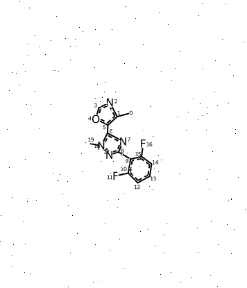 Cc1ncoc1-c1nc(-c2c(F)cccc2F)nn1C